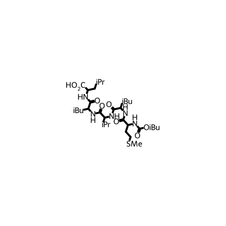 CCC(C)C(NC(=O)C(CCSC)NC(=O)OCC(C)C)C(=O)NC(C(=O)NC(C(=O)NC(CC(C)C)C(=O)O)C(C)CC)C(C)C